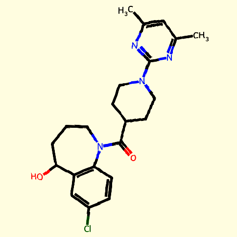 Cc1cc(C)nc(N2CCC(C(=O)N3CCCC(O)c4cc(Cl)ccc43)CC2)n1